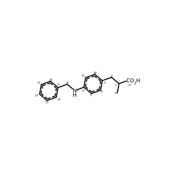 CC(Cc1ccc(NCc2ccccc2)cc1)C(=O)O